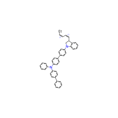 CC/C=C\C=C/C1CN(c2ccc(-c3ccc(N(c4ccccc4)c4ccc(-c5ccccc5)cc4)cc3)cc2)c2ccccc21